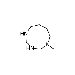 CN1CCCCNCNC1